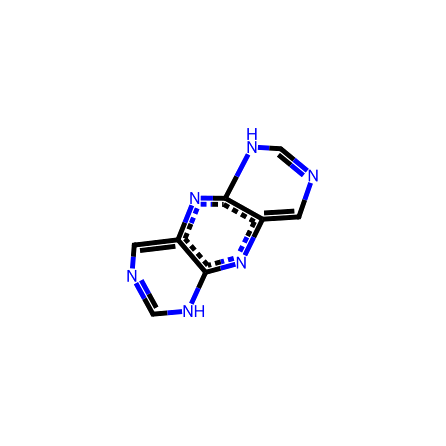 C1=NC=c2nc3c(nc2N1)=CN=CN3